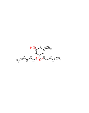 CC1CCCC(O)C1.CCCCCOOCCCCC